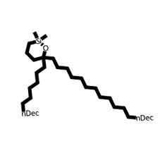 CCCCCCCCCCCCCCCCCCCCCCC1(CCCCCCCCCCCCCCCC)CCC[Si](C)(C)O1